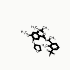 COc1cc2c(cc1O[C@H]1CCOC1)/c(=N/C(C)c1cccc(C(F)(F)F)c1C)nc(C)n2C